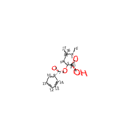 CC1O[C@@H](O)C(OC(=O)c2ccccc2)C[C@H]1C